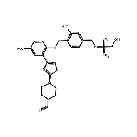 Cc1ccc(OCc2ccc(CNC(C)(C)CO)cc2C)c(-c2csc(N3CCC(C=O)CC3)n2)c1